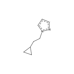 [c]1ccn(CCC2CC2)n1